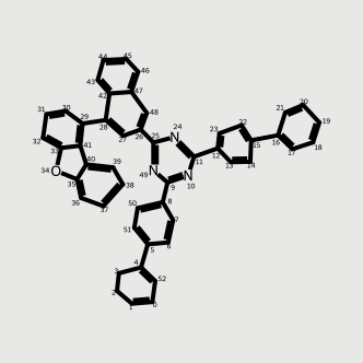 C1=CCCC(c2ccc(-c3nc(-c4ccc(-c5ccccc5)cc4)nc(-c4cc(-c5cccc6oc7ccccc7c56)c5ccccc5c4)n3)cc2)=C1